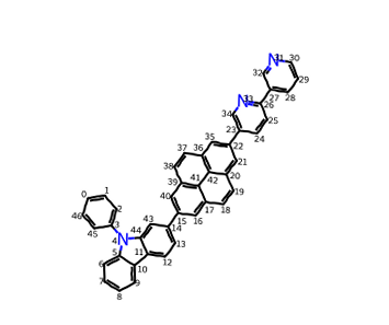 c1ccc(-n2c3ccccc3c3ccc(-c4cc5ccc6cc(-c7ccc(-c8cccnc8)nc7)cc7ccc(c4)c5c67)cc32)cc1